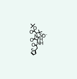 CC(C)(C)OC(=O)C1N2C(=O)C(NC(=O)Cc3cccs3)[C@@H]2[S+]([O-])C1(C)C